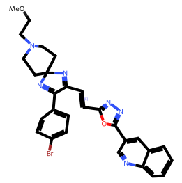 COCCN1CCC2(CC1)N=C(/C=C/c1nnc(-c3cnc4ccccc4c3)o1)C(c1ccc(Br)cc1)=N2